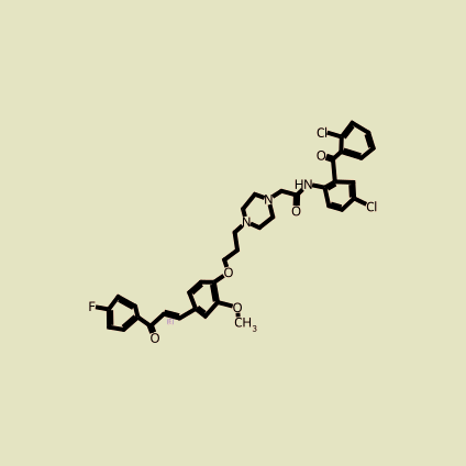 COc1cc(/C=C/C(=O)c2ccc(F)cc2)ccc1OCCCN1CCN(CC(=O)Nc2ccc(Cl)cc2C(=O)c2ccccc2Cl)CC1